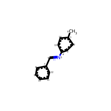 Cc1ccc(/N=C/c2ccccc2)cc1